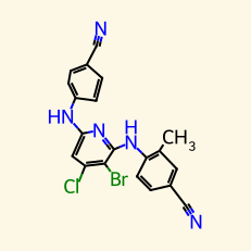 Cc1cc(C#N)ccc1Nc1nc(Nc2ccc(C#N)cc2)cc(Cl)c1Br